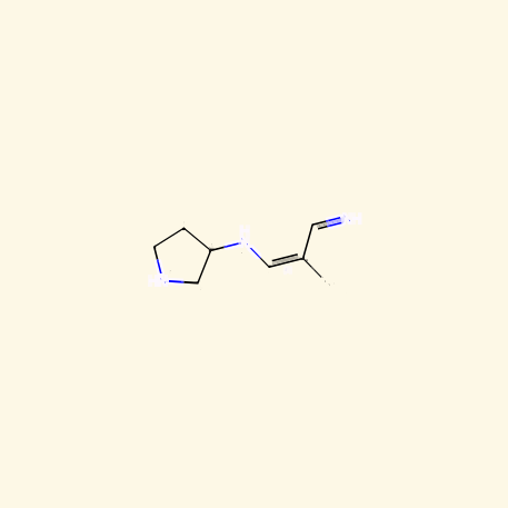 N=C/C(=C\NC1CCNC1)[N+](=O)[O-]